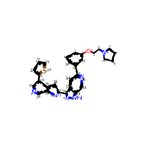 c1cc(OCCN2CCCC2)cc(-c2cc3c(-c4cc5c(-c6cccs6)cncc5[nH]4)n[nH]c3cn2)c1